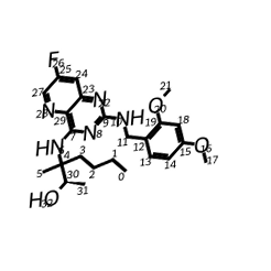 CCCCC(C)(Nc1nc(NCc2ccc(OC)cc2OC)nc2cc(F)cnc12)[C@@H](C)O